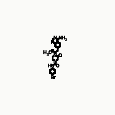 COC(Cc1ccc2c(N)ncnc2c1)N1CCN(C(=O)Nc2ccc(Br)cc2)CC1=O